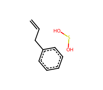 C=CCc1ccccc1.OSO